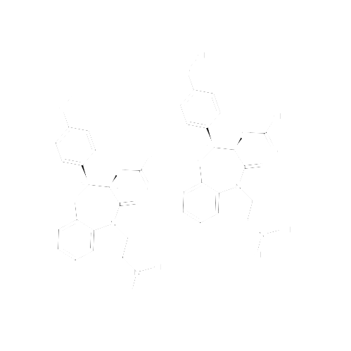 COc1ccc([C@@H]2Sc3ccccc3N(CCN(C)C)C(=O)[C@@H]2OC(C)=O)cc1.COc1ccc([C@@H]2Sc3ccccc3N(CCN(C)C)C(=O)[C@@H]2OC(C)=O)cc1